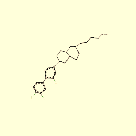 CCCCCCC1CCC2CC(c3ccc(-c4ccc(F)c(F)c4)c(F)c3)CCC2C1